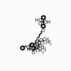 CC(C)(C)OC(=O)N(CCCCCOc1ccc(C(O)(C(=O)O)c2ccccc2)cc1)CC(O[Si](C)(C)C(C)(C)C)c1ccc(OCc2ccccc2)c2[nH]c(=O)ccc12